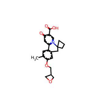 Cc1cc2c(cc1OCC1COC1)CC1(CCC1)n1cc(C(=O)O)c(=O)cc1-2